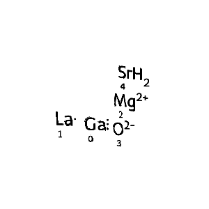 [Ga].[La].[Mg+2].[O-2].[SrH2]